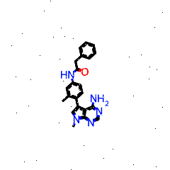 Cc1cc(NC(=O)Cc2ccccc2)ccc1-c1cn(C)c2ncnc(N)c12